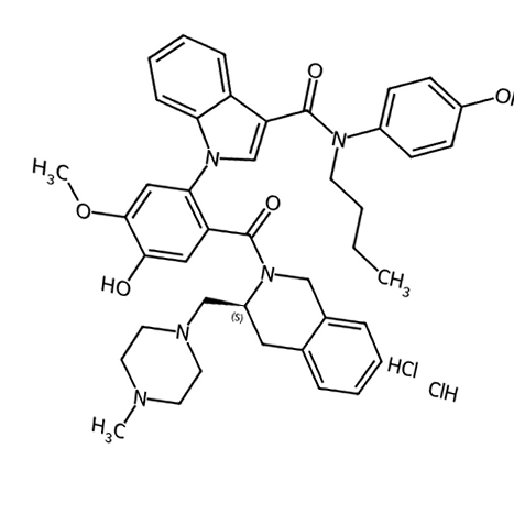 CCCCN(C(=O)c1cn(-c2cc(OC)c(O)cc2C(=O)N2Cc3ccccc3C[C@H]2CN2CCN(C)CC2)c2ccccc12)c1ccc(O)cc1.Cl.Cl